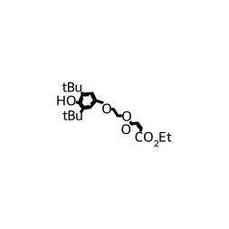 CCOC(=O)/C=C\C(=O)OCCOCc1cc(C(C)(C)C)c(O)c(C(C)(C)C)c1